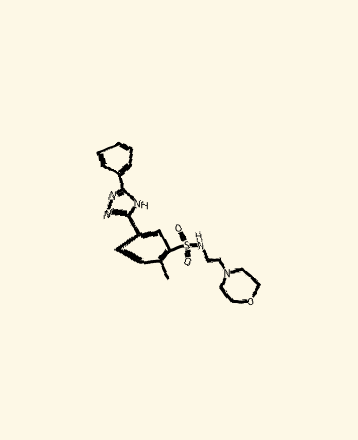 Cc1ccc(-c2nnc(-c3ccccc3)[nH]2)cc1S(=O)(=O)NCCN1CCOCC1